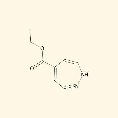 CCOC(=O)C1=CC=NNC=C1